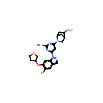 COc1nc(N2CC3CC2CC3C(=O)O)cc(-n2ncc3cc(Cl)c(OC4CCOC4)cc32)n1